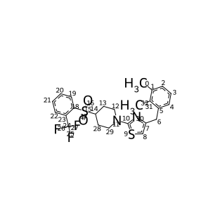 Cc1cccc(Cc2csc(N3CCC(S(=O)(=O)c4ccccc4C(F)(F)F)CC3)n2)c1C